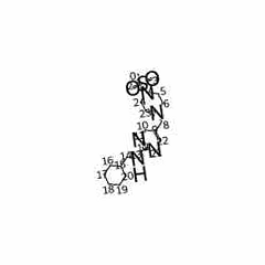 CS(=O)(=O)N1CCN(Cc2cnc(NCC3CCCCC3)nc2)CC1